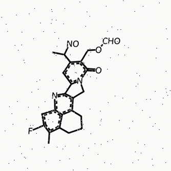 Cc1c(F)cc2nc3c(c4c2c1CCC4)Cn1c-3cc(C(C)N=O)c(COC=O)c1=O